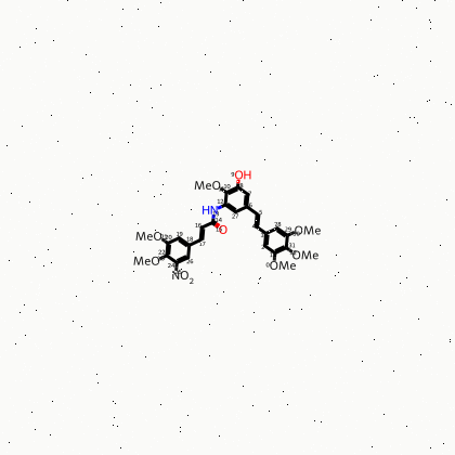 COc1cc(C=Cc2cc(O)c(OC)c(NC(=O)/C=C/c3cc(OC)c(OC)c([N+](=O)[O-])c3)c2)cc(OC)c1OC